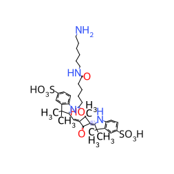 CC1(O)C(=CC2=[N+](CCCCCC(=O)NCCCCCCN)c3ccc(S(=O)(=O)O)cc3C2(C)C)C(=O)/C1=C1/Nc2ccc(S(=O)(=O)O)cc2C1(C)C